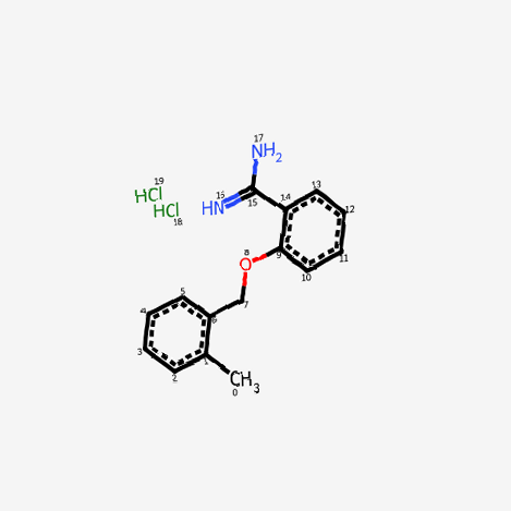 Cc1ccccc1COc1ccccc1C(=N)N.Cl.Cl